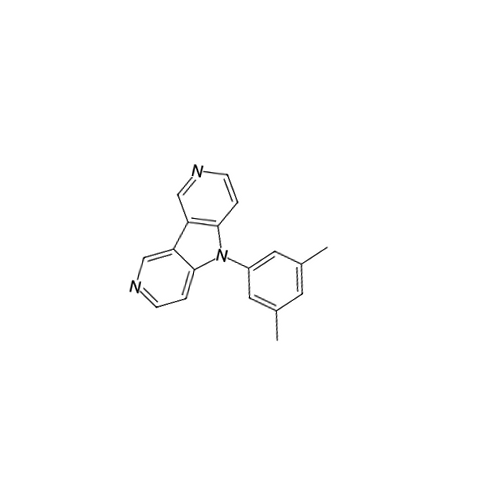 Cc1cc(C)cc(-n2c3ccncc3c3cnccc32)c1